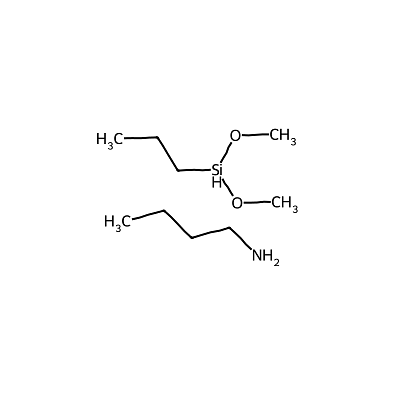 CCCCN.CCC[SiH](OC)OC